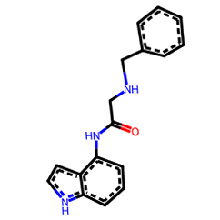 O=C(CNCc1ccccc1)Nc1cccc2[nH]ccc12